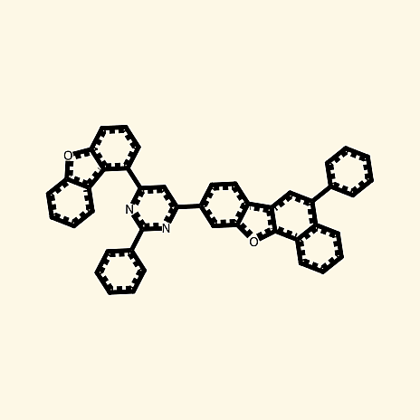 c1ccc(-c2nc(-c3ccc4c(c3)oc3c5ccccc5c(-c5ccccc5)cc43)cc(-c3cccc4oc5ccccc5c34)n2)cc1